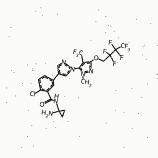 Cn1nc(OCC(F)(F)C(F)(F)C(F)(F)F)c(C(F)(F)F)c1-n1cc(-c2ccc(Cl)c(C(=O)NC3(N)CC3)c2)cn1